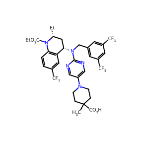 CCOC(=O)N1c2ccc(C(F)(F)F)cc2[C@@H](N(Cc2cc(C(F)(F)F)cc(C(F)(F)F)c2)c2ncc(N3CCC(C)(C(=O)O)CC3)cn2)C[C@H]1CC